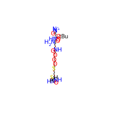 CC(C)(C)OC(=O)[C@H](CCC(=O)C=[N+]=[N-])NC(=O)C(N)CCCCNC(=O)CCOCCOCCOCCSCCCCC[C@@H]1SC[C@@H]2NC(=O)N[C@@H]21